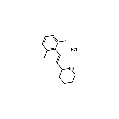 Cc1cccc(C)c1C=CC1CCCCN1.Cl